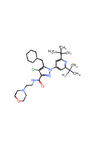 CC(C)(C)c1cc(-n2nc(C(=O)NCCN3CCOCC3)c(Cl)c2CC2CCCCC2)cc(C(C)(C)C)n1